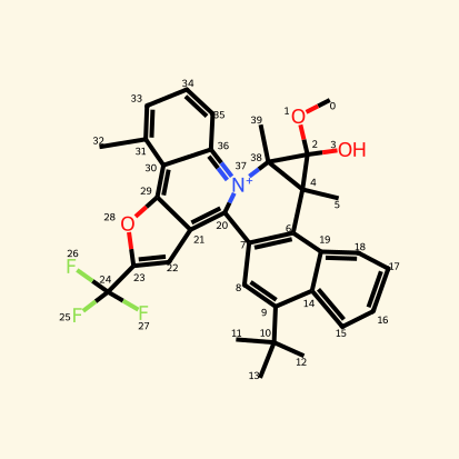 COC1(O)C2(C)c3c(cc(C(C)(C)C)c4ccccc34)-c3c4cc(C(F)(F)F)oc4c4c(C)cccc4[n+]3C12C